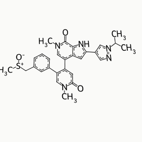 CC(C)n1cc(-c2cc3c(-c4cc(=O)n(C)cc4-c4cccc(C[S+](C)[O-])c4)cn(C)c(=O)c3[nH]2)cn1